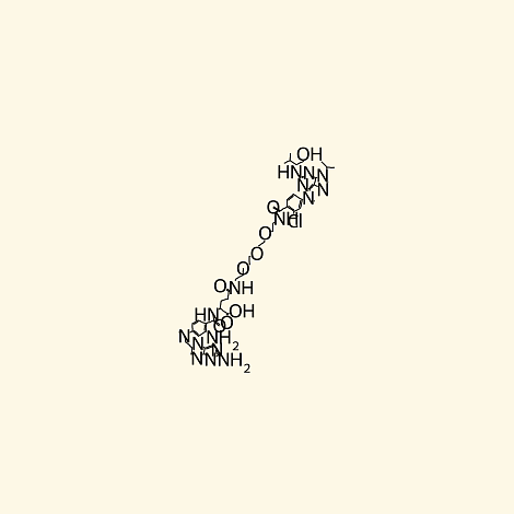 CC(C)C(CO)Nc1nc(N(C)c2ccc(C(=O)NCCOCCOCCOCCNC(=O)CCC(NC(=O)c3ccc(N(C)Cc4cnc5nc(N)nc(N)c5n4)cc3)C(=O)O)c(Cl)c2)c2ncn(C(C)C)c2n1